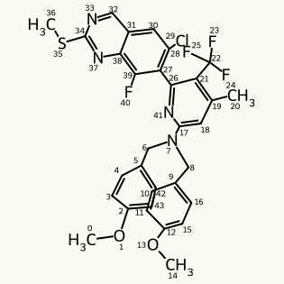 COc1ccc(CN(Cc2ccc(OC)cc2)c2cc(C)c(C(F)(F)F)c(-c3c(Cl)cc4cnc(SC)nc4c3F)n2)cc1